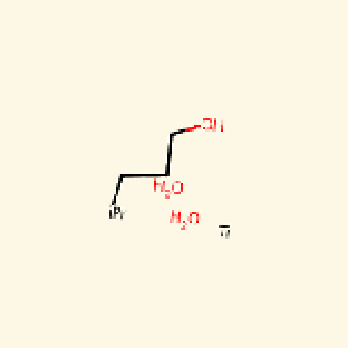 CC(C)CCCO.O.O.[Ti]